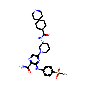 CS(=O)(=O)c1ccc(Nc2nc(N3CCC[C@@H](NC(=O)C4CCC5(CCNCC5)CC4)C3)cnc2C(N)=O)cc1